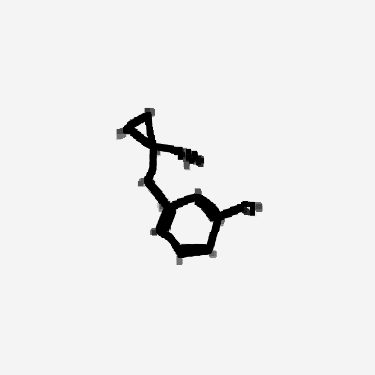 CNC1(Cc2cccc(Cl)c2)CC1